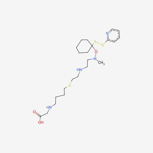 CN(CCNCCSCCCCNCC(=O)O)OC1(SSc2ccccn2)CCCCC1